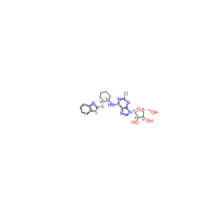 OC[C@H]1O[C@@H](n2cnc3c(N[C@@H]4CCCC[C@H]4Sc4nc5ccccc5s4)nc(Cl)nc32)[C@H](O)[C@@H]1O